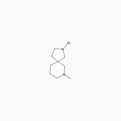 CCN1CCC2(CCCN(C)C2)C1